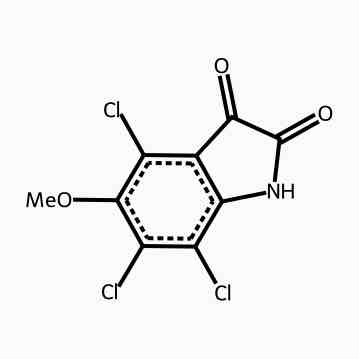 COc1c(Cl)c(Cl)c2c(c1Cl)C(=O)C(=O)N2